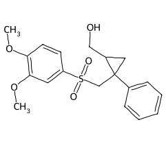 COc1ccc(S(=O)(=O)CC2(c3ccccc3)CC2CO)cc1OC